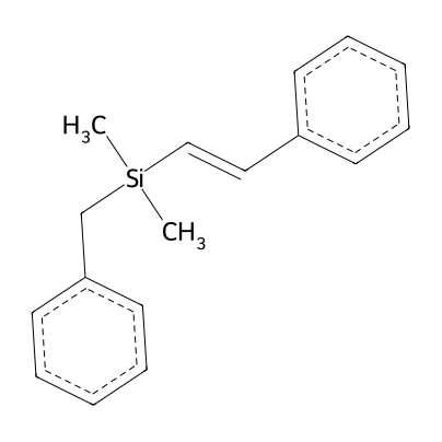 C[Si](C)(C=Cc1ccccc1)Cc1ccccc1